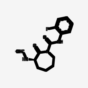 O=[C]N[C@H]1CCCCN(C(=O)Nc2ccccc2F)C1=O